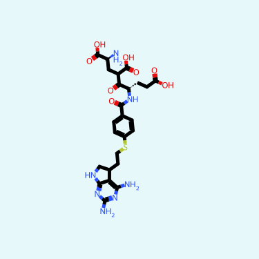 Nc1nc(N)c2c(n1)NCC2CCSc1ccc(C(=O)N[C@@H](CCC(=O)O)C(=O)C(C[C@H](N)C(=O)O)C(=O)O)cc1